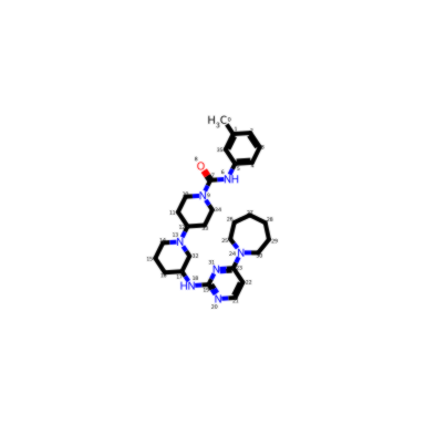 Cc1cccc(NC(=O)N2CCC(N3CCCC(Nc4nccc(N5CCCCCC5)n4)C3)CC2)c1